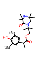 CC(C(=O)OCC(C)(C)N1CC(C)(C)NC(C)(C)C1=O)c1cc(C(C)(C)C)c(O)c(C(C)(C)C)c1